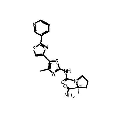 Cc1nc(NC(=O)N2CCC[C@@]2(C)C(N)=O)sc1-c1csc(-c2cccnc2)n1